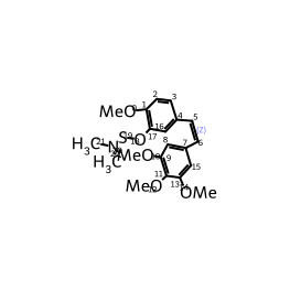 COc1ccc(/C=C\c2cc(OC)c(OC)c(OC)c2)cc1OSN(C)C